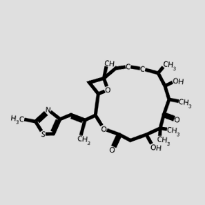 C/C(=C\c1csc(C)n1)C1OC(=O)CC(O)C(C)(C)C(=O)C(C)C(O)C(C)CCCC2(C)CC1O2